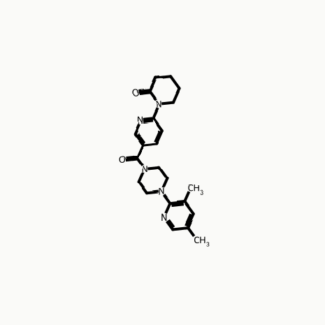 Cc1cnc(N2CCN(C(=O)c3ccc(N4CCCCC4=O)nc3)CC2)c(C)c1